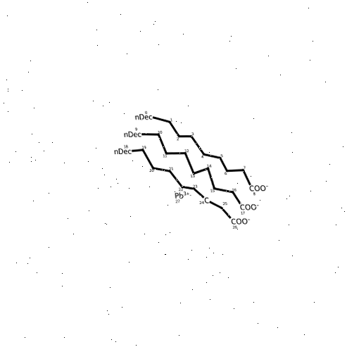 CCCCCCCCCCCCCCCCCC(=O)[O-].CCCCCCCCCCCCCCCCCC(=O)[O-].CCCCCCCCCCCCCCCCCC(=O)[O-].[Pb+3]